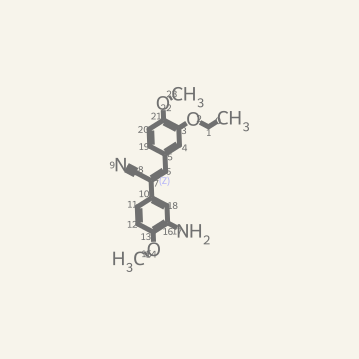 CCOc1cc(/C=C(\C#N)c2ccc(OC)c(N)c2)ccc1OC